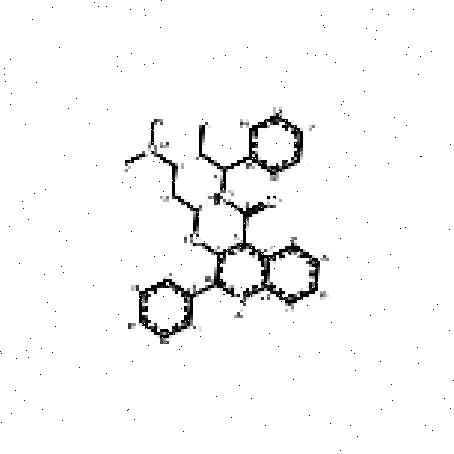 CCC(NC(=O)c1c(OCCCN(C)C)c(-c2ccccc2)nc2ccccc12)c1ccccc1